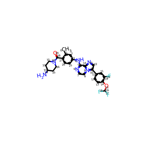 Cc1cc(Nc2nccn3c(-c4ccc(OC(F)F)c(F)c4)cnc23)ccc1C(=O)N1CCC(N)CC1